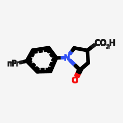 CCCc1ccc(N2CC(C(=O)O)CC2=O)cc1